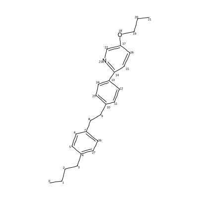 CCCCc1ccc(CCc2ccc(-c3ccc(OCCC)cn3)cc2)cc1